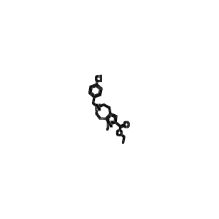 CCOC(=O)c1cc2c(n1C)CCN(Cc1ccc(Cl)cc1)CC2